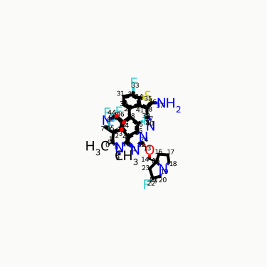 C[C@H](c1cccnc1)N(C)c1nc(OC[C@@]23CCCN2C[C@H](F)C3)nc2c(F)c(-c3ccc(F)c4sc(N)c(C#N)c34)c(C(F)(F)F)cc12